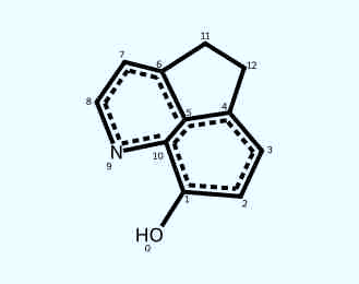 Oc1ccc2c3c(ccnc13)CC2